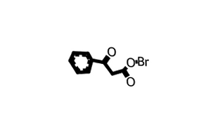 O=C(CC(=O)c1ccccc1)OBr